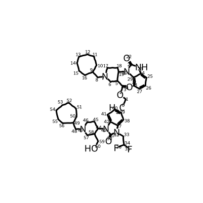 CCOC(=O)C1CN(CC2CCCCCCC2)CCC1n1c(=O)[nH]c2ccccc21.O=c1n(CC(F)F)c2ccccc2n1C1CCN(CC2CCCCCCC2)CC1CO